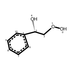 OOC[C@@H](O)c1ccccc1